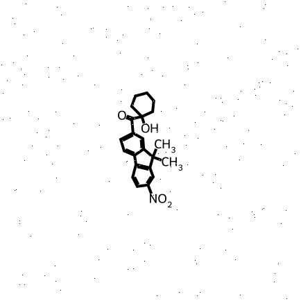 CC1(C)c2cc(C(=O)C3(O)CCCCC3)ccc2-c2ccc([N+](=O)[O-])cc21